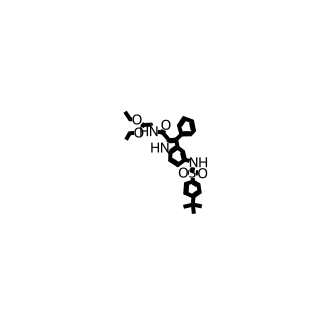 CCOC(CNC(=O)c1[nH]c2ccc(NS(=O)(=O)c3ccc(C(C)(C)C)cc3)cc2c1-c1ccccc1)OCC